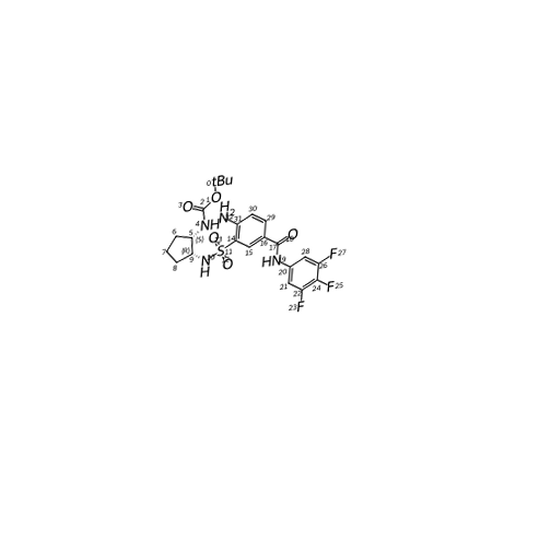 CC(C)(C)OC(=O)N[C@H]1CCC[C@H]1NS(=O)(=O)c1cc(C(=O)Nc2cc(F)c(F)c(F)c2)ccc1N